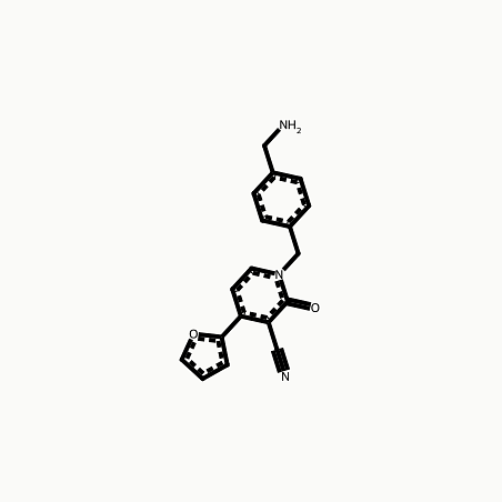 N#Cc1c(-c2ccco2)ccn(Cc2ccc(CN)cc2)c1=O